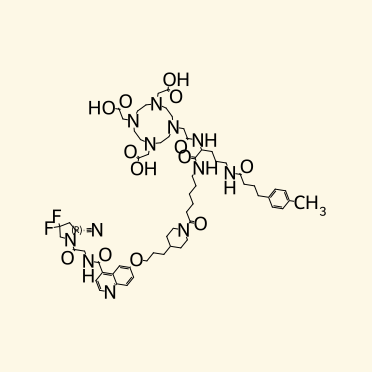 Cc1ccc(CCCC(=O)NCCCC(NC(=O)CN2CCN(CC(=O)O)CCN(CC(=O)O)CCN(CC(=O)O)CC2)C(=O)NCCCCCC(=O)N2CCC(CCCOc3ccc4nccc(C(=O)NCC(=O)N5CC(F)(F)C[C@@H]5C#N)c4c3)CC2)cc1